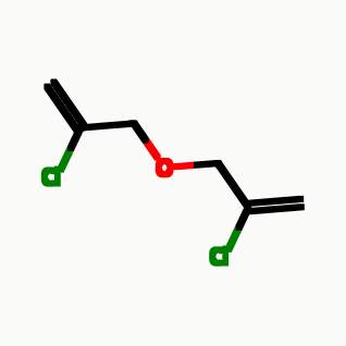 C=C(Cl)COCC(=C)Cl